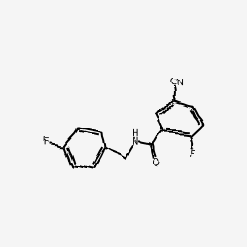 N#Cc1ccc(F)c(C(=O)NCc2ccc(F)cc2)c1